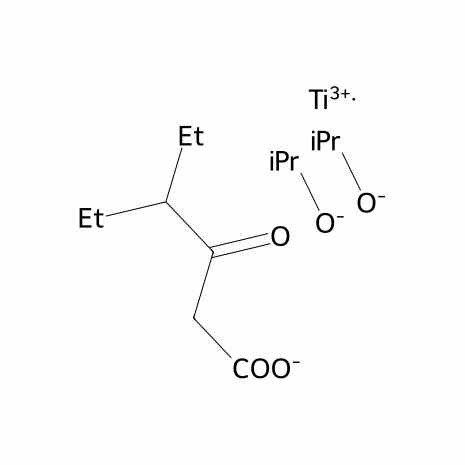 CC(C)[O-].CC(C)[O-].CCC(CC)C(=O)CC(=O)[O-].[Ti+3]